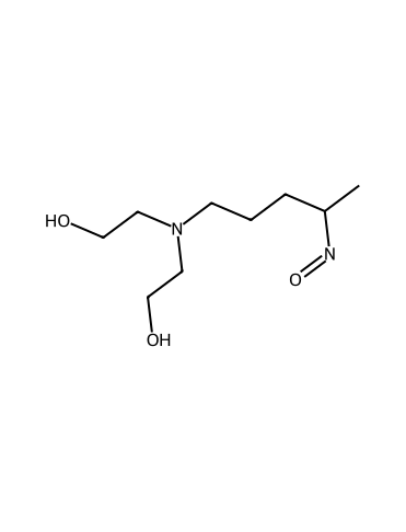 CC(CCCN(CCO)CCO)N=O